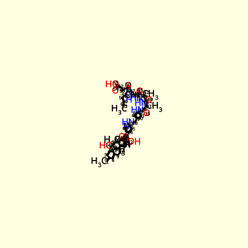 C/C=C1\C=C[C@@]2(C)C(=C1)CC[C@@H]1C2[C@@H](O)C[C@@]2(C)C1C[C@H]1O[C@@H](c3ccc(NCc4ccc(NC(=O)[C@H](C)NC(=O)[C@H](C)NC(=O)CCNC(=O)C(CC(=O)O)SC(C)CCCC)cc4)nc3)O[C@]12C(=O)CO